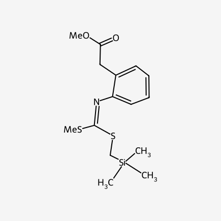 COC(=O)Cc1ccccc1N=C(SC)SC[Si](C)(C)C